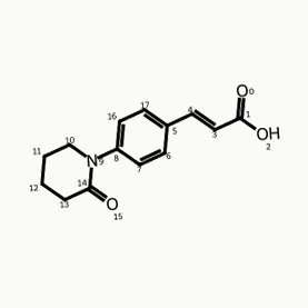 O=C(O)/C=C/c1ccc(N2CCCCC2=O)cc1